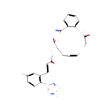 O=C(/C=C/c1cc(Cl)ccc1-n1cnnn1)N[C@H]1CC=CCCC(=O)Nc2ccccc2-c2nnc1o2